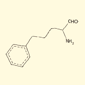 NC([C]=O)CCCc1ccccc1